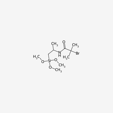 CO[Si](CC(C)NC(=O)C(C)(C)Br)(OC)OC